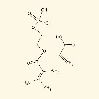 C=CC(=O)O.CC(C)=C(C)C(=O)OCCOP(=O)(O)O